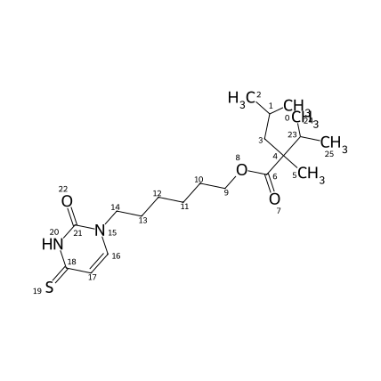 CC(C)CC(C)(C(=O)OCCCCCCn1ccc(=S)[nH]c1=O)C(C)C